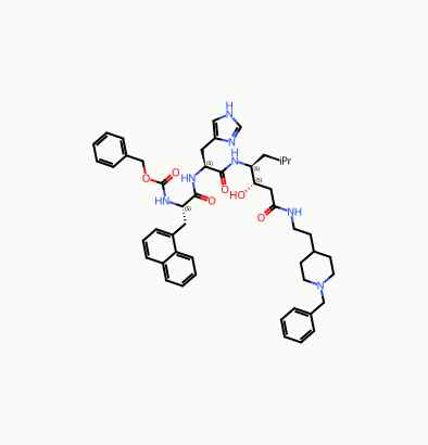 CC(C)C[C@H](NC(=O)[C@H](Cc1c[nH]cn1)NC(=O)[C@H](Cc1cccc2ccccc12)NC(=O)OCc1ccccc1)[C@@H](O)CC(=O)NCCC1CCN(Cc2ccccc2)CC1